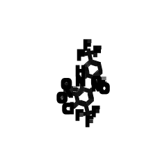 O=[N+]([O-])c1cc(C(F)(F)F)c(Cl)c([N+](=O)[O-])c1Nc1cccc(C(F)(F)F)c1